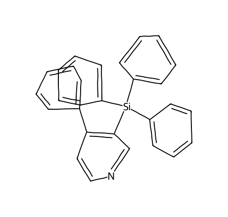 c1ccc(-c2ccncc2[Si](c2ccccc2)(c2ccccc2)c2ccccc2)cc1